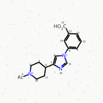 CC(=O)N1CCC(c2cn(-c3cccc(C(=O)O)c3)cn2)CC1